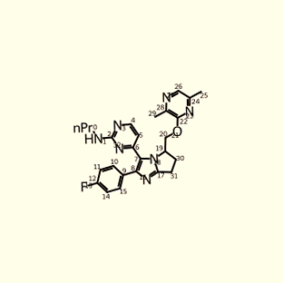 CCCNc1nccc(-c2c(-c3ccc(F)cc3)nc3n2C(COc2nc(C)cnc2C)CC3)n1